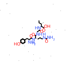 CC[C@H](C)[C@H](NC(=O)CNC(=O)[C@H](CCCNC(N)=O)NC(=O)[C@@H](N)Cc1ccc(O)cc1)C(=O)O